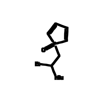 CCCCC(CC)CP1(=O)C=CC=C1